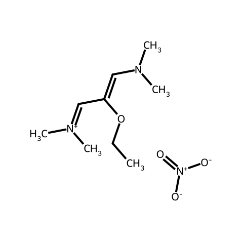 CCO/C(C=[N+](C)C)=C\N(C)C.O=[N+]([O-])[O-]